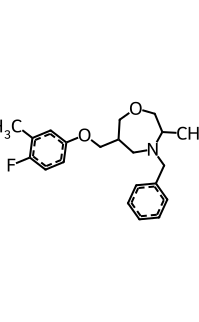 Cc1cc(OCC2COCC(C)N(Cc3ccccc3)C2)ccc1F